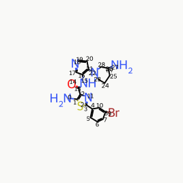 Nc1sc(-c2cccc(Br)c2)nc1C(=O)Nc1cnccc1N1CCC[C@H](N)C1